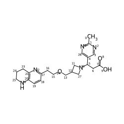 Cc1ncc(C(CC(=O)O)N2CC(COCCc3ccc4c(n3)CCCN4)C2)cn1